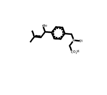 CCN(CC(=O)O)Cc1ccc(C(C=C(C)C)C(C)(C)C)cc1